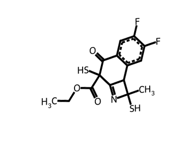 CCOC(=O)C1(S)C(=O)c2cc(F)c(F)cc2C2C1=NC2(C)S